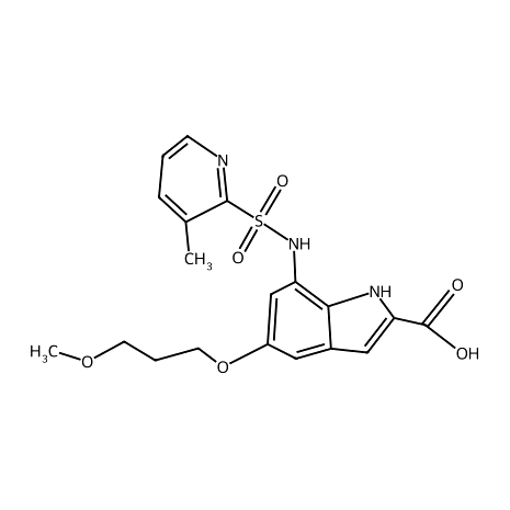 COCCCOc1cc(NS(=O)(=O)c2ncccc2C)c2[nH]c(C(=O)O)cc2c1